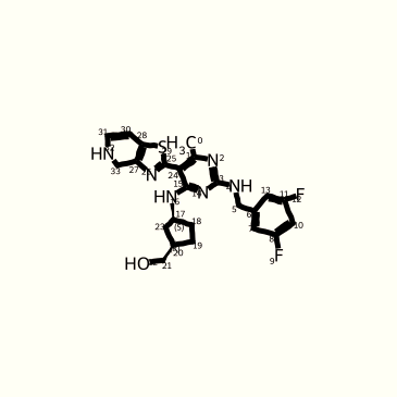 Cc1nc(NCc2cc(F)cc(F)c2)nc(N[C@H]2CC[C@@H](CO)C2)c1-c1nc2c(s1)C=CNC2